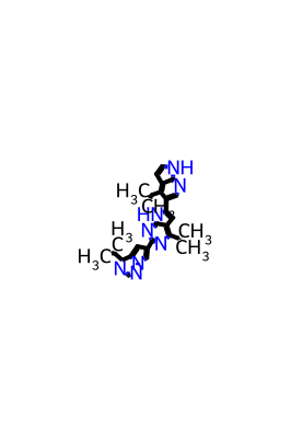 CC(C)c1nc(-c2cc3c(C(C)C)ncnn3c2)nc2[nH]c(-c3cnc4[nH]ccc4c3C(C)C)cc12